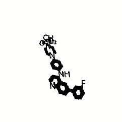 CS(=O)(=O)N1CCN(c2ccc(Nc3ccnc4ccc(-c5cccc(F)c5)cc34)cc2)CC1